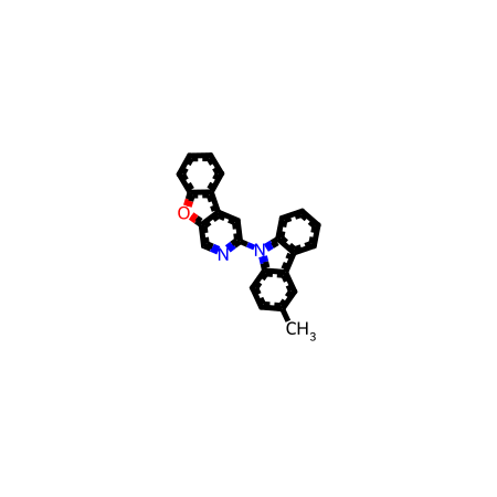 Cc1ccc2c(c1)c1ccccc1n2-c1cc2c(cn1)oc1ccccc12